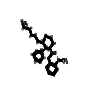 COc1ccccc1CN[C@H]1CCCN(CCCCCN)[C@H]1c1ccccc1